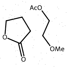 COCCOC(C)=O.O=C1CCCO1